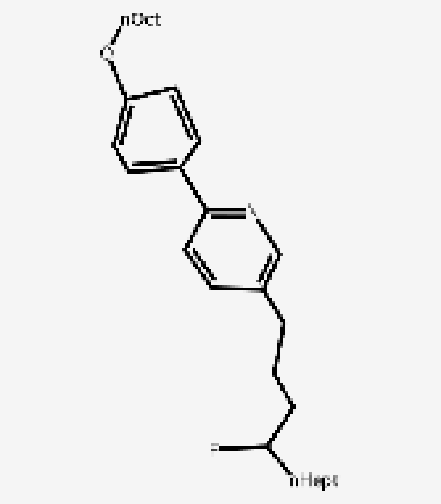 CCCCCCCCOc1ccc(-c2ccc(CCCC(F)CCCCCCC)cn2)cc1